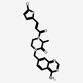 CC1C(=O)N(Cc2ccc3c(N)ncnc3c2)CCN1C(=O)/C=C/c1ccc(Cl)s1